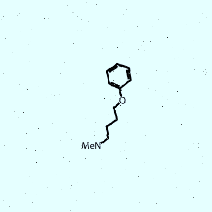 CNCCCCOc1ccccc1